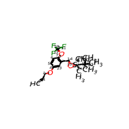 C#CCOc1ccc(OC(F)(F)F)c(CO[Si](C)(C)C(C)(C)C)c1